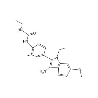 CCNC(=O)Nc1ccc(-c2c(N)c3ccc(OC)cc3n2CC)cc1C